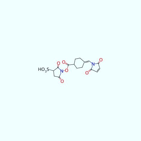 O=C(ON1C(=O)CC(S(=O)(=O)O)C1=O)C1CCC(=CN2C(=O)C=CC2=O)CC1